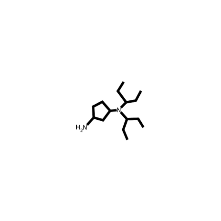 CCC(CC)N(C(CC)CC)C1CCC(N)C1